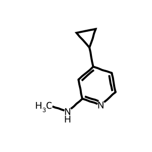 CNc1cc(C2CC2)ccn1